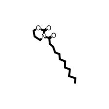 CCCCCCCCCCCC(=O)N1CCCOC1=O